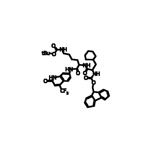 CC(C)(C)OC(=O)NCCCCC(NC(=O)C(CC1CCCCC1)NC(=O)OCC1c2ccccc2-c2ccccc21)C(=O)Nc1ccc2c(C(F)(F)F)cc(=O)[nH]c2c1